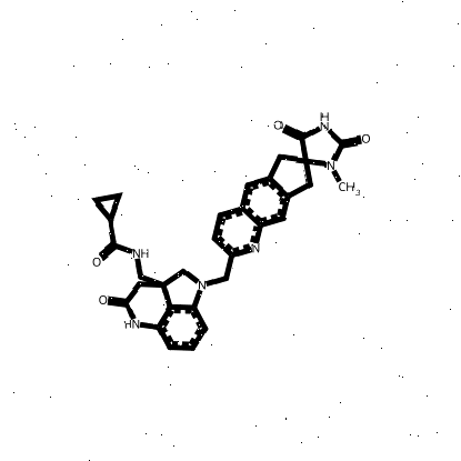 CN1C(=O)NC(=O)C12Cc1cc3ccc(CN4CC5(CNC(=O)C6CC6)CC(=O)Nc6cccc4c65)nc3cc1C2